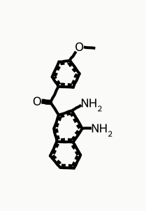 COc1ccc(C(=O)c2cc3ccccc3c(N)c2N)cc1